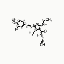 C#CCNC(=O)c1c(NCC)nc(C#Cc2ccc(OC)c(F)c2)n1C